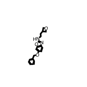 c1ccc(COc2ccc3nc(NCCC4COC4)oc3c2)cc1